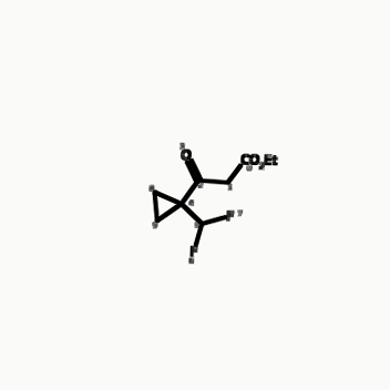 CCOC(=O)CC(=O)C1(C(F)F)CC1